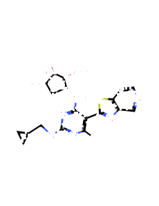 Cc1nc(NCC2CC2)nc(N[C@@H]2C[C@H](C)[C@@H](O)[C@H]2O)c1-c1nc2cnccc2s1